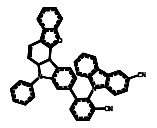 N#Cc1ccc2c(c1)c1ccccc1n2-c1c(C#N)cccc1-c1ccc2c(c1)N(c1ccccc1)C1C=Cc3c(oc4ccccc34)C21